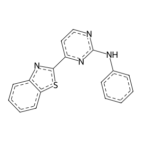 c1ccc(Nc2nccc(-c3nc4ccccc4s3)n2)cc1